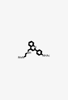 CNCCNCc1cc(-c2ccc(NC(C)=O)cc2)nc2ccccc12